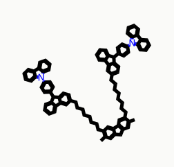 Cc1cc2c(cc1CCCCCCCCc1ccc3c(c1)-c1ccccc1C3c1ccc(-n3c4ccccc4c4ccccc43)cc1)-c1cc(CCCCCCCCc3ccc4c(c3)-c3ccccc3C4c3ccc(-n4c5ccccc5c5ccccc54)cc3)c(C)cc1C2